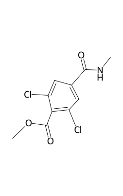 CNC(=O)c1cc(Cl)c(C(=O)OC)c(Cl)c1